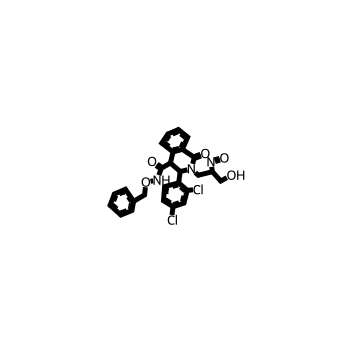 O=NC(CO)CN1C(=O)c2ccccc2C(C(=O)NOCc2ccccc2)C1c1ccc(Cl)cc1Cl